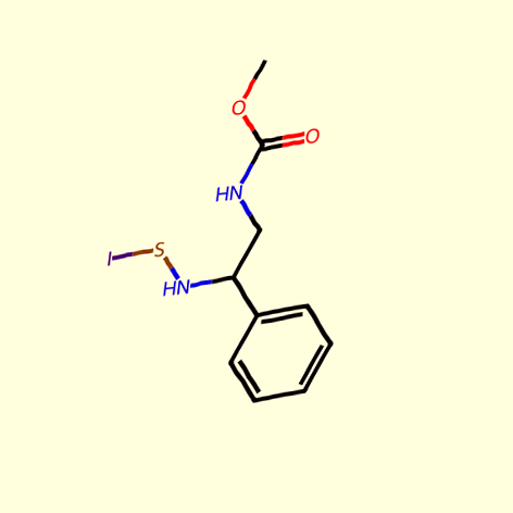 COC(=O)NCC(NSI)c1ccccc1